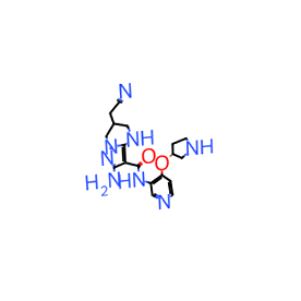 N#CCC1CNc2c(C(=O)Nc3cnccc3O[C@@H]3CCNC3)c(N)nn2C1